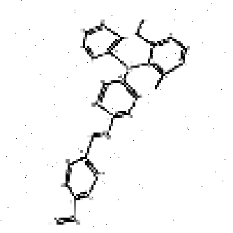 CCc1cccc(C)c1N(c1ccccc1)c1ccc(C=Cc2ccc(C=O)cc2)cc1